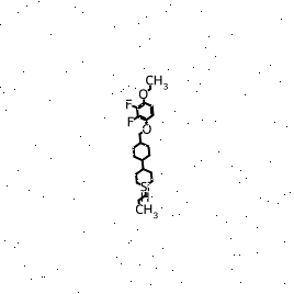 CCC[SiH]1CCC(C2CCC(COc3ccc(OCC)c(F)c3F)CC2)CC1